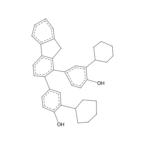 Oc1ccc(-c2ccc3c(c2-c2ccc(O)c(C4CCCCC4)c2)Cc2ccccc2-3)cc1C1CCCCC1